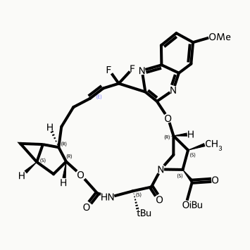 COc1ccc2nc3c(nc2c1)O[C@H]1CN(C(=O)[C@H](C(C)(C)C)NC(=O)O[C@@H]2C[C@@H]4CC4[C@H]2CC/C=C/C3(F)F)[C@H](C(=O)OCC(C)C)[C@@H]1C